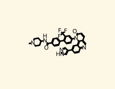 CN1CCC(NC(=O)c2ccc(-c3ccc(-n4c(=O)ccc5cnc6ccc(-c7cn[nH]c7)cc6c54)cc3C(F)(F)F)cc2)CC1